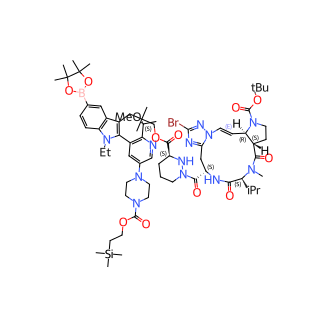 CCn1c(-c2cc(N3CCN(C(=O)OCC[Si](C)(C)C)CC3)cnc2[C@H](C)OC)c(CC(C)(C)COC(=O)[C@@H]2CCCN(C(=O)[C@@H]3Cc4nc(Br)nn4/C=C/[C@@H]4[C@H](CCN4C(=O)OC(C)(C)C)C(=O)N(C)[C@@H](C(C)C)C(=O)N3)N2)c2cc(B3OC(C)(C)C(C)(C)O3)ccc21